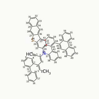 C#C/C(=C\C(=C/C)c1ccccc1-c1ccccc1)N(c1ccc2c(c1)sc1cc3ccccc3cc12)c1ccccc1C1=C(c2cc3ccccc3c3ccccc23)C=CCC1